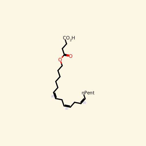 CCCCC/C=C\C/C=C\C/C=C\CCCCCOC(=O)CCC(=O)O